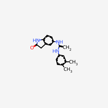 C=C(Nc1ccc(C)c(C)c1)Nc1ccc2c(c1)CC(=O)N2